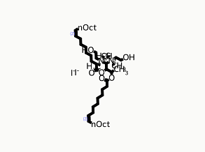 CCCCCCCC/C=C\CCCCCCCC(=O)OC(C)C(OC(=O)CCCCCCC/C=C\CCCCCCCC)C([N+](C)(C)CCO)[N+](C)(C)CCO.[I-].[I-]